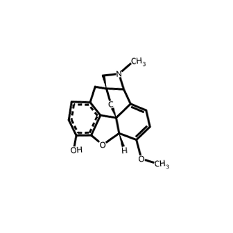 COC1=CC=C2C3N(C)C[C@@]34Cc3ccc(O)c5c3[C@@]2(C4)[C@H]1O5